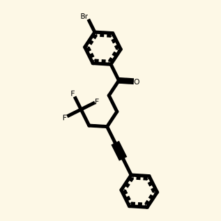 O=C(CCC(C#Cc1ccccc1)CC(F)(F)F)c1ccc(Br)cc1